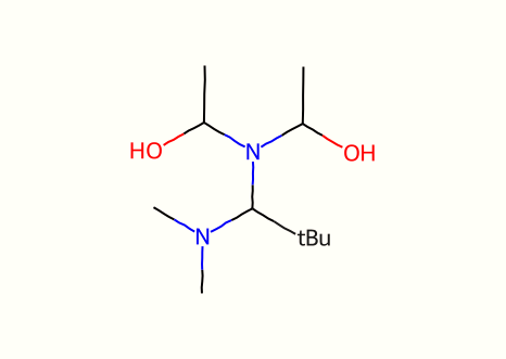 CC(O)N(C(C)O)C(N(C)C)C(C)(C)C